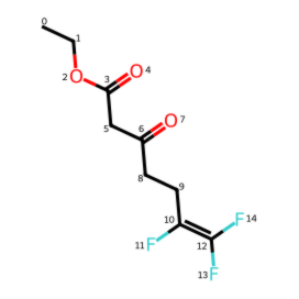 CCOC(=O)CC(=O)CCC(F)=C(F)F